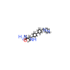 Cc1[nH]c(-c2ccc(-c3ccc(CN4CCN(C)CC4)cc3)cc2)cc1C(N)=O